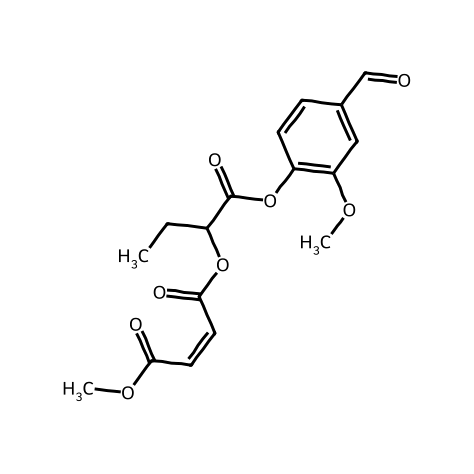 CCC(OC(=O)/C=C\C(=O)OC)C(=O)Oc1ccc(C=O)cc1OC